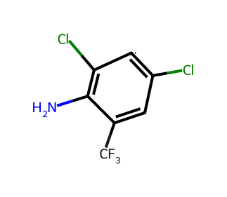 Nc1c(Cl)[c]c(Cl)cc1C(F)(F)F